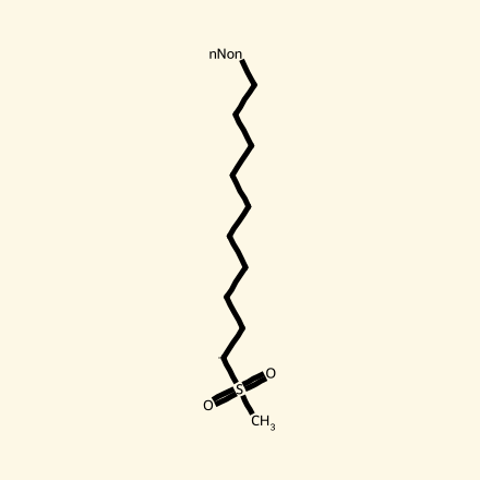 [CH2]CCCCCCCCCCCCCCCCC[CH]S(C)(=O)=O